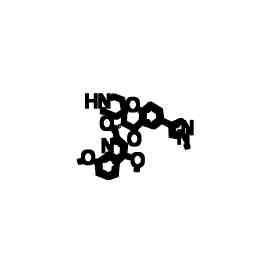 COc1cc(C(=O)[C@H]2C(=O)c3cc(-c4cnn(C)c4)ccc3OC23CCNCC3)nc2c(OC)cccc12